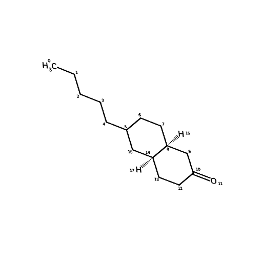 CCCCCC1CC[C@H]2CC(=O)CC[C@H]2C1